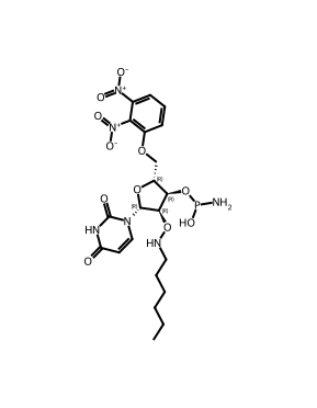 CCCCCCNO[C@@H]1[C@H](OP(N)O)[C@@H](COc2cccc([N+](=O)[O-])c2[N+](=O)[O-])O[C@H]1n1ccc(=O)[nH]c1=O